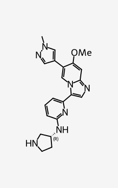 COc1cc2ncc(-c3cccc(N[C@@H]4CCNC4)n3)n2cc1-c1cnn(C)c1